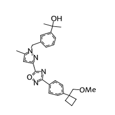 COCC1(c2ccc(-c3noc(-c4cc(C)n(Cc5cccc(C(C)(C)O)c5)n4)n3)cc2)CCC1